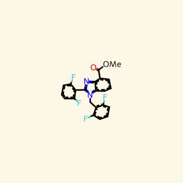 COC(=O)c1cccc2c1nc(-c1c(F)cccc1F)n2Cc1c(F)cccc1F